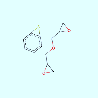 C(OCC1CO1)C1CO1.c1ccc2c(c1)S2